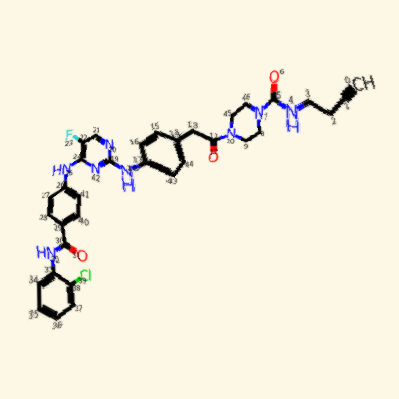 C#CCCNC(=O)N1CCN(C(=O)Cc2ccc(Nc3ncc(F)c(Nc4ccc(C(=O)Nc5ccccc5Cl)cc4)n3)cc2)CC1